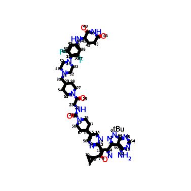 CC(C)(C)n1nc(-c2noc(C3CC3)c2-c2ncc(C3CCN(C(=O)NCC(=O)N4CCC(CN5CCN(c6c(F)cc(NC7CCC(=O)NC7=O)cc6F)CC5)CC4)CC3)cn2)c2c(N)ncnc21